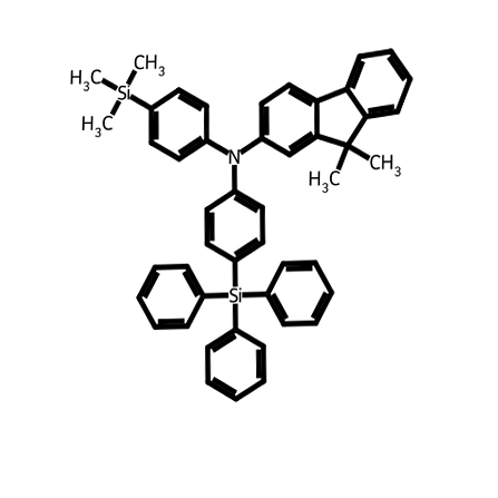 CC1(C)c2ccccc2-c2ccc(N(c3ccc([Si](C)(C)C)cc3)c3ccc([Si](c4ccccc4)(c4ccccc4)c4ccccc4)cc3)cc21